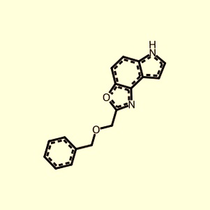 c1ccc(COCc2nc3c(ccc4[nH]ccc43)o2)cc1